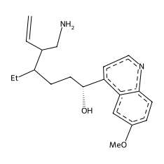 C=CC(CN)C(CC)CC[C@@H](O)c1ccnc2ccc(OC)cc12